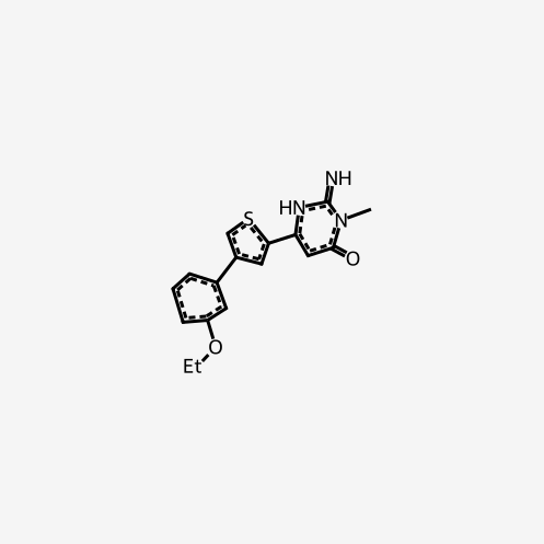 CCOc1cccc(-c2csc(-c3cc(=O)n(C)c(=N)[nH]3)c2)c1